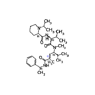 C/C(=C\[C@H](C(C)C)N(C)C(=O)[C@@H](NC(=O)[C@H]1CCCCN1C(C)C)C(C)C)C(=O)N[C@H](C)c1ccccc1